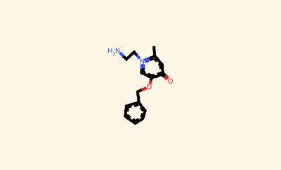 Cc1cc(=O)c(OCc2ccccc2)cn1CCN